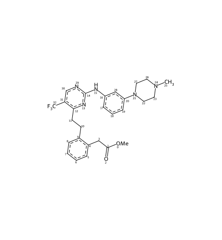 COC(=O)Cc1ccccc1CCc1nc(Nc2cccc(N3CCN(C)CC3)c2)ncc1C(F)(F)F